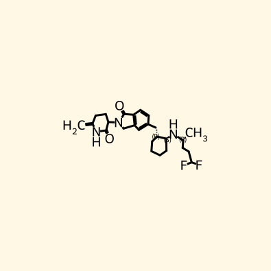 C=C1CCC(N2Cc3cc(C[C@H]4CCCC[C@@H]4N[C@H](C)CCC(F)F)ccc3C2=O)C(=O)N1